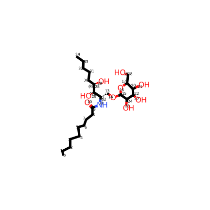 CCCCCCCCCC(=O)N[C@@H](COC1OC(CO)C(O)C(O)C1O)[C@H](O)[C@H](O)CCCCC